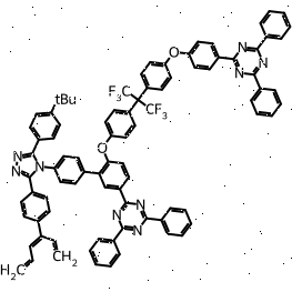 C=C/C=C(\C=C)c1ccc(-c2nnc(-c3ccc(C(C)(C)C)cc3)n2-c2ccc(-c3cc(-c4nc(-c5ccccc5)nc(-c5ccccc5)n4)ccc3Oc3ccc(C(c4ccc(Oc5ccc(-c6nc(-c7ccccc7)nc(-c7ccccc7)n6)cc5)cc4)(C(F)(F)F)C(F)(F)F)cc3)cc2)cc1